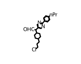 CCCc1ccc(-c2ncc(C(C=O)C3CCC(CCCCl)CC3)cn2)cc1